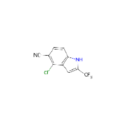 N#Cc1ccc2[nH]c(C(F)(F)F)cc2c1Cl